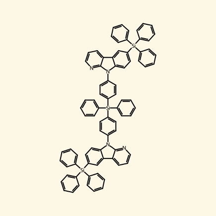 c1ccc([Si](c2ccccc2)(c2ccc(-n3c4ccc([Si](c5ccccc5)(c5ccccc5)c5ccccc5)cc4c4cccnc43)cc2)c2ccc(-n3c4ccc([Si](c5ccccc5)(c5ccccc5)c5ccccc5)cc4c4cccnc43)cc2)cc1